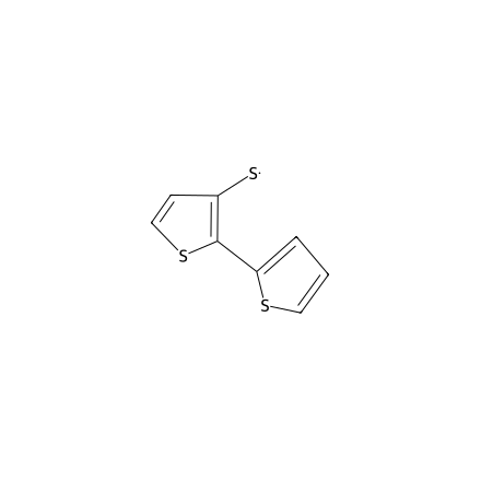 [S]c1ccsc1-c1cccs1